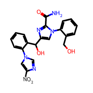 NC(=O)c1nc(C(O)c2ccccc2-n2cnc([N+](=O)[O-])c2)cn1-c1ccccc1CO